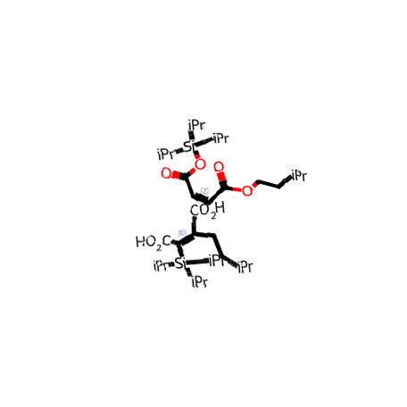 CC(C)CC/C(C(=O)O)=C(/C(=O)O)[Si](C(C)C)(C(C)C)C(C)C.CC(C)CCOC(=O)/C=C\C(=O)O[Si](C(C)C)(C(C)C)C(C)C